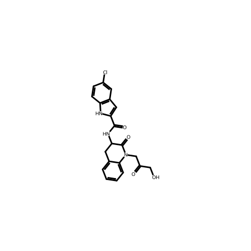 O=C(CO)CN1C(=O)C(NC(=O)c2cc3cc(Cl)ccc3[nH]2)Cc2ccccc21